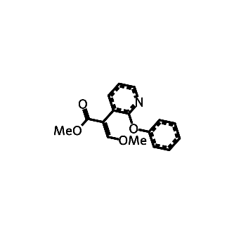 CO/C=C(/C(=O)OC)c1cccnc1Oc1ccccc1